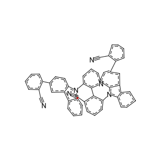 N#Cc1ccccc1-c1ccc2c(c1)c1ccccc1n2-c1cccnc1-c1c(C#N)cccc1-n1c2ccccc2c2cc(-c3ccccc3C#N)ccc21